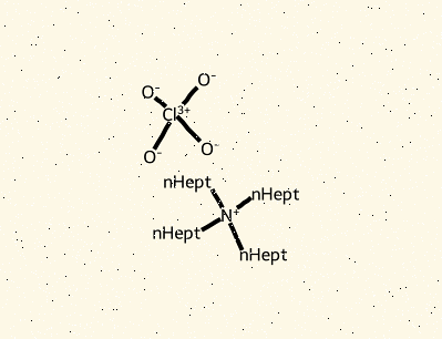 CCCCCCC[N+](CCCCCCC)(CCCCCCC)CCCCCCC.[O-][Cl+3]([O-])([O-])[O-]